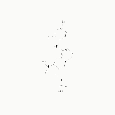 CC(C)(N)COc1cc2ncnc(Nc3ccc(Br)cc3F)c2cc1[N+](=O)[O-]